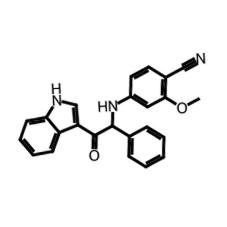 COc1cc(NC(C(=O)c2c[nH]c3ccccc23)c2ccccc2)ccc1C#N